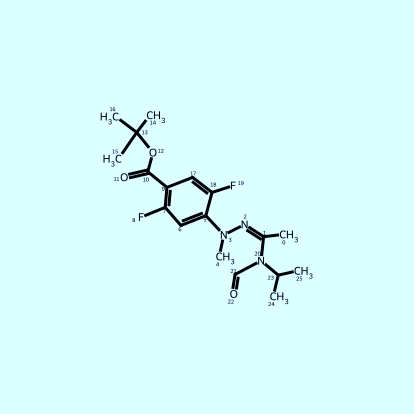 C/C(=N/N(C)c1cc(F)c(C(=O)OC(C)(C)C)cc1F)N(C=O)C(C)C